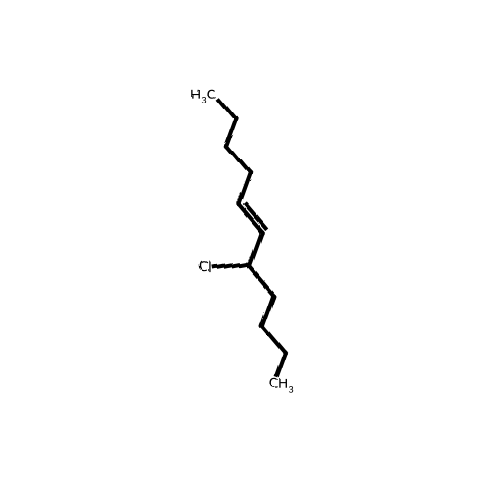 CCCCC=CC(Cl)CCCC